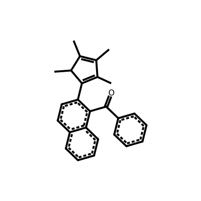 CC1=C(C)C(C)C(c2ccc3ccccc3c2C(=O)c2ccccc2)=C1C